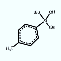 Cc1ccc([Si](O)(C(C)(C)C)C(C)(C)C)cc1